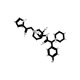 O=C(C[N+]12CCC(CC1)[C@@H](OC(=O)C(c1ccc(F)cc1)N1CCCCC1)C2)c1cccs1